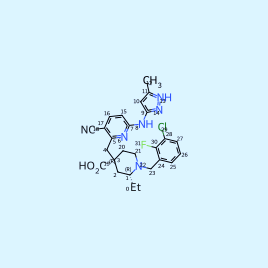 CC[C@@H]1C[C@](Cc2nc(Nc3cc(C)[nH]n3)ccc2C#N)(C(=O)O)CCN1Cc1cccc(Cl)c1F